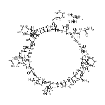 CCCC[C@H]1C(=O)N(C)[C@@H](COCc2ccccc2)C(=O)N[C@@H](CCCNC(=N)N)C(=O)N[C@H](C(=O)NCC(N)=O)CSCC(=O)N[C@@H](Cc2ccccc2)C(=O)N(C)[C@@H](C)C(=O)N[C@@H](CC(N)=O)C(=O)N2CCC[C@H]2C(=O)N[C@@H](Cc2cnc[nH]2)C(=O)N[C@@H](CC(C)C)C(=O)N(C)CC(=O)N[C@@H](Cc2c[nH]c3ccccc23)C(=O)N[C@@H](CO)C(=O)N[C@@H](Cc2c[nH]c3ccccc23)C(=O)N1C